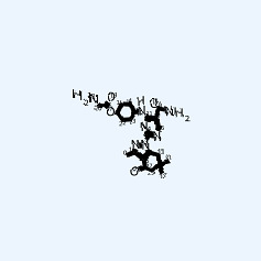 Cc1nn(-c2ncc(C(N)=O)c(NC3CCC(OC(=O)CN)CC3)n2)c2c1C(=O)CC(C)(C)C2